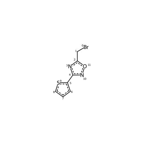 BrCc1nc(-c2cccs2)no1